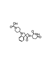 O=C1CCC(N2CC3(CN(C4CCN(C(=O)O)CC4)c4ccccc43)C2=O)C(=O)N1